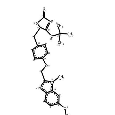 COc1ccc2nc(COc3ccc(CC4SC(=O)N=C4OC(C)(C)C)cc3)n(C)c2c1